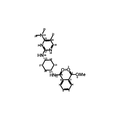 COC(=O)c1ccccc1C(=O)N[C@H]1CC[C@@H](Nc2ncc(C)c(N(C)C)n2)CC1